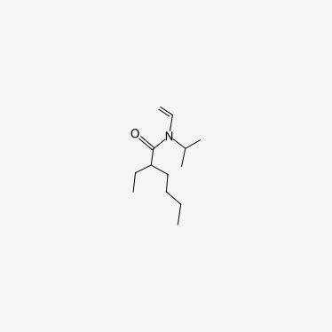 C=CN(C(=O)C(CC)CCCC)C(C)C